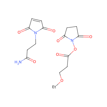 CCOCCC(=O)ON1C(=O)CCC1=O.NC(=O)CCN1C(=O)C=CC1=O